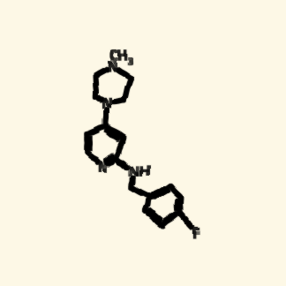 CN1CCN(c2ccnc(NCc3ccc(F)cc3)c2)CC1